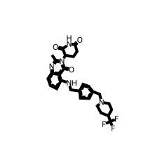 Cc1nc2cccc(NCc3ccc(CN4CCC(C(F)(F)F)CC4)cc3)c2c(=O)n1C1CCC(=O)NC1=O